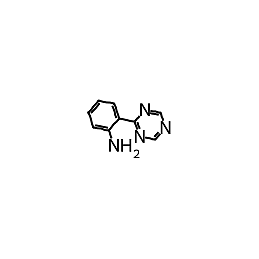 Nc1ccccc1-c1ncncn1